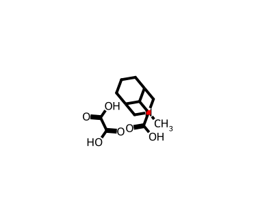 CN1CC2CCCC(C1)C2CC(=O)O.O=C(O)C(=O)O